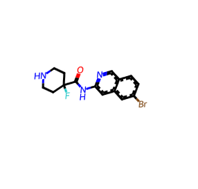 O=C(Nc1cc2cc(Br)ccc2cn1)C1(F)CCNCC1